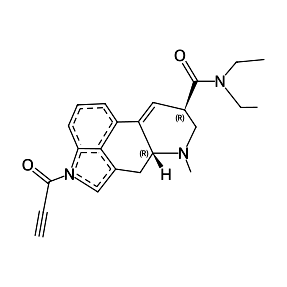 C#CC(=O)n1cc2c3c(cccc31)C1=C[C@@H](C(=O)N(CC)CC)CN(C)[C@@H]1C2